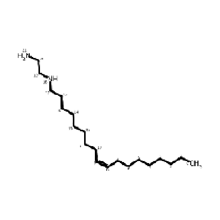 CCCCCCCC/C=C\CCCCCCCCNCCN